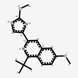 COc1ccc2c(C(C)(C)C)nc(-c3csc(OC)n3)cc2c1